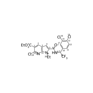 CCOC(=O)c1cc2cc(C(=O)NC(c3ccc(Cl)c(Cl)c3)C(F)(F)F)n(CC)c2nc1Cl